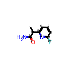 CC(C(N)=O)c1cccc(F)n1